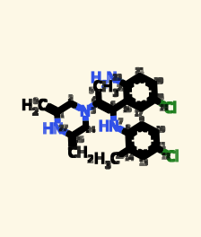 C=C1CN(/C(C)=C(\Nc2ccc(Cl)cc2C)c2cc(Cl)ccc2N)CC(=C)N1